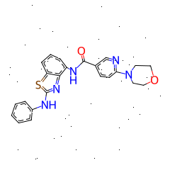 O=C(Nc1cccc2sc(Nc3ccccc3)nc12)c1ccc(N2CCOCC2)nc1